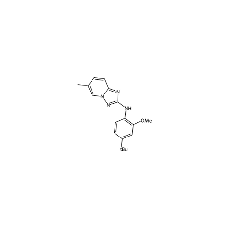 COc1cc(C(C)(C)C)ccc1Nc1nc2ccc(C)cn2n1